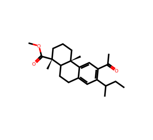 CCC(C)c1cc2c(cc1C(C)=O)[C@@]1(C)CCC[C@@](C)(C(=O)OC)C1CC2